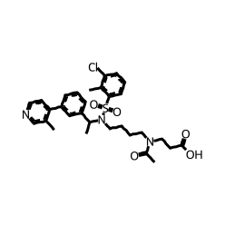 CC(=O)N(CCCCN(C(C)c1cccc(-c2ccncc2C)c1)S(=O)(=O)c1cccc(Cl)c1C)CCC(=O)O